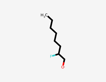 CCCCCCC(F)C[O]